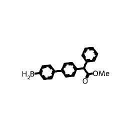 Bc1ccc(-c2ccc(C(C(=O)OC)c3ccccc3)cc2)cc1